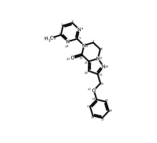 Cc1ccnc(N2CCn3nc(COc4ccccc4)cc3C2=O)n1